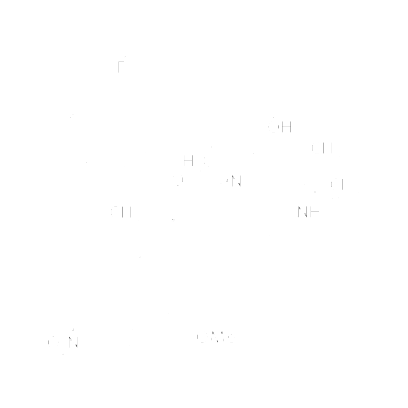 COc1cc([N+](=O)[O-])ccc1-c1ccc2c(c1COc1cc(F)ccc1C)N(C)C(O)C(C)(C)N2